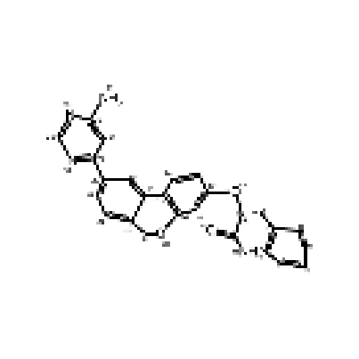 NC(=O)[C@@H](Cc1ccccc1)Oc1ccc2c(c1)OCc1ccc(-c3cc(N)ncn3)cc1-2